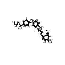 NC(=O)c1ccc(Oc2ccc(CNCCc3ccc(Cl)cc3Cl)cc2)cc1